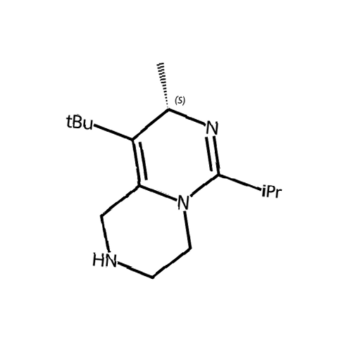 CC(C)C1=N[C@@H](C)C(C(C)(C)C)=C2CNCCN12